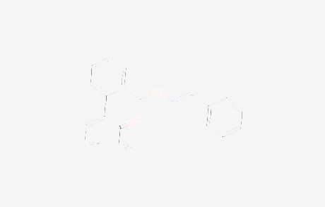 CO/C=C(\C(=O)OC)c1ccccc1CO/N=C/c1ccccc1